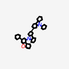 c1ccc(-c2cc(-n3c4ccccc4c4cc(-c5ccc6c7ccccc7n(-c7ccccc7)c6c5)ccc43)c3c(c2)oc2ccccc23)cc1